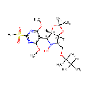 COc1nc(S(C)(=O)=O)nc(OC)c1[C@H]1[C@@H]2OC(C)(C)O[C@@H]2[C@@H](CO[Si](C)(C)C(C)(C)C)N1O